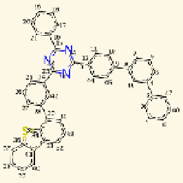 c1ccc(-c2cccc(-c3ccc(-c4nc(-c5ccccc5)nc(-c5cccc(-c6cccc7c6sc6ccccc67)c5)n4)cc3)c2)cc1